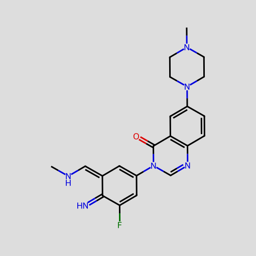 CN/C=C1/C=C(n2cnc3ccc(N4CCN(C)CC4)cc3c2=O)C=C(F)C1=N